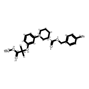 CC(C)c1ccc(COC(=O)[C@H]2CCCN(c3cccc(OC(C)(C)C(=O)OC(C)(C)C)c3)C2)cc1